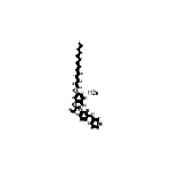 Br.CCCCCCCCCCCCCCOc1ccc(CN(C(=O)CC)c2cccc(Cc3cccnc3)c2)cc1